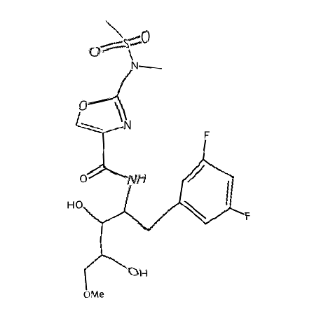 COCC(O)C(O)C(Cc1cc(F)cc(F)c1)NC(=O)c1coc(N(C)S(C)(=O)=O)n1